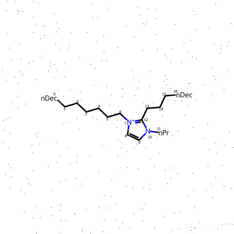 CCCCCCCCCCCCCCCC[n+]1ccn(CCC)c1CCCCCCCCCCCCC